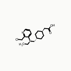 CCN(C[C@H]1CC[C@H](CC(=O)O)CC1)c1cccnc1CCl